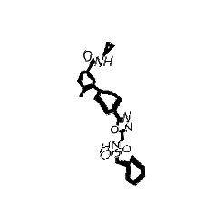 Cc1ccc(C(=O)NC2CC2)cc1-c1ccc(-c2nnc(CNS(=O)(=O)Cc3ccccc3)o2)cc1